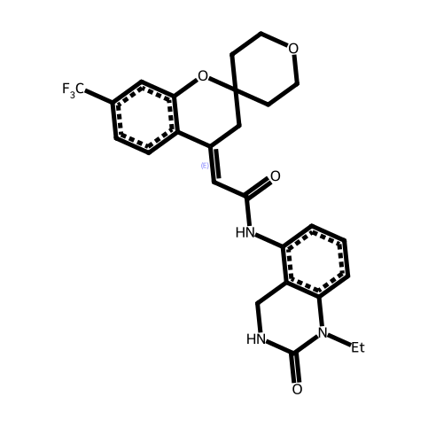 CCN1C(=O)NCc2c(NC(=O)/C=C3\CC4(CCOCC4)Oc4cc(C(F)(F)F)ccc43)cccc21